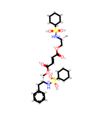 C[C@H](COC(=O)/C=C/C(=O)OC[C@@H](Cc1ccccc1)NS(=O)(=O)C1CCCCC1)NS(=O)(=O)C1CCCCC1